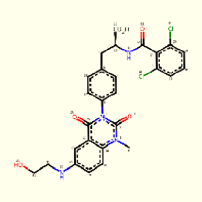 Cn1c(=O)n(-c2ccc(C[C@H](NC(=O)c3c(Cl)cccc3Cl)C(=O)O)cc2)c(=O)c2cc(NCCO)ccc21